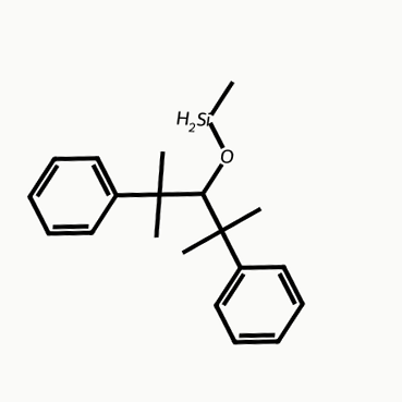 C[SiH2]OC(C(C)(C)c1ccccc1)C(C)(C)c1ccccc1